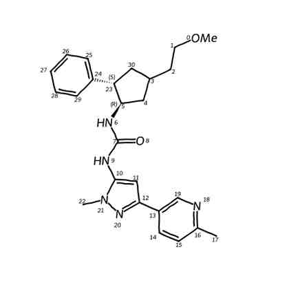 COCCC1C[C@@H](NC(=O)Nc2cc(-c3ccc(C)nc3)nn2C)[C@H](c2ccccc2)C1